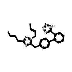 C/C=C/Cc1nc(Cc2ccc(-c3ccccc3-c3nnn[nH]3)cc2)n(C/C=C/C)n1